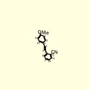 COc1ccc(C#Cc2ccccc2C#N)cc1